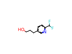 OCC[CH]c1ccc(C(F)F)nc1